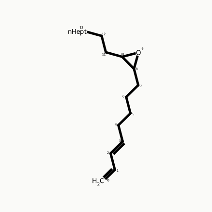 C=C/C=C/CCCCC1OC1CCCCCCCCC